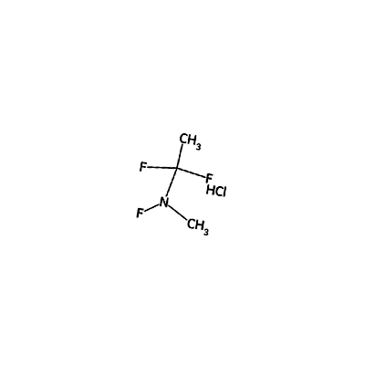 CN(F)C(C)(F)F.Cl